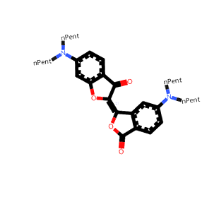 CCCCCN(CCCCC)c1ccc2c(c1)O/C(=C1\OC(=O)c3ccc(N(CCCCC)CCCCC)cc31)C2=O